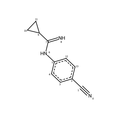 N#Cc1ccc(NC(=N)C2CC2)cc1